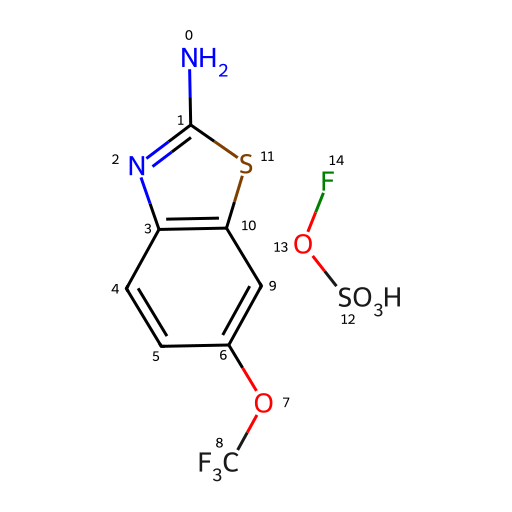 Nc1nc2ccc(OC(F)(F)F)cc2s1.O=S(=O)(O)OF